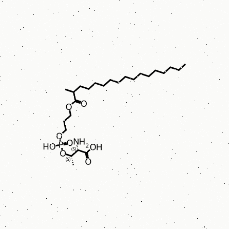 CCCCCCCCCCCCCCCC(C)C(=O)OCCCOP(=O)(O)O[C@@H](C)[C@H](N)C(=O)O